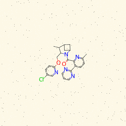 Cc1ccc(-c2ncccn2)c(C(=O)N2C3CC(C3)C(C)C2COc2ccc(Cl)cn2)n1